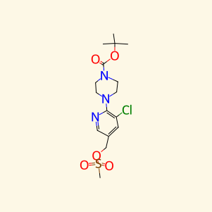 CC(C)(C)OC(=O)N1CCN(c2ncc(COS(C)(=O)=O)cc2Cl)CC1